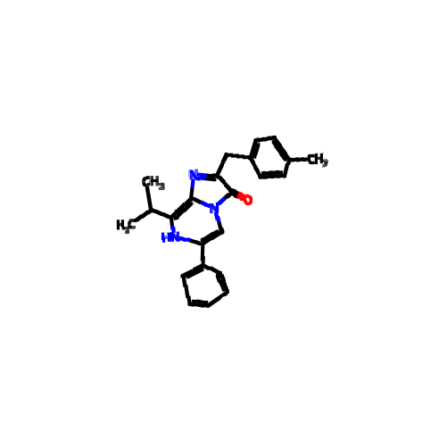 Cc1ccc(Cc2nc3c(C(C)C)[nH]c(-c4ccccc4)cn-3c2=O)cc1